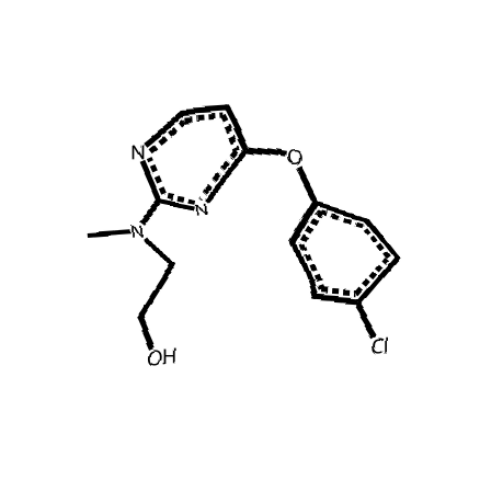 CN(CCO)c1nccc(Oc2ccc(Cl)cc2)n1